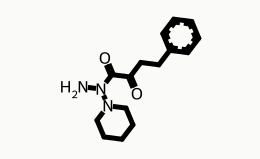 NN(C(=O)C(=O)CCc1ccccc1)N1CCCCC1